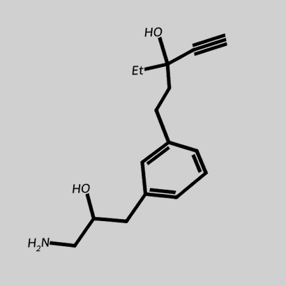 C#CC(O)(CC)CCc1cccc(CC(O)CN)c1